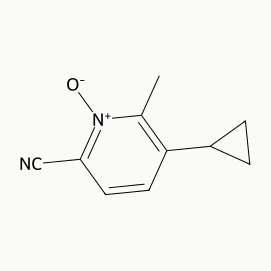 Cc1c(C2CC2)ccc(C#N)[n+]1[O-]